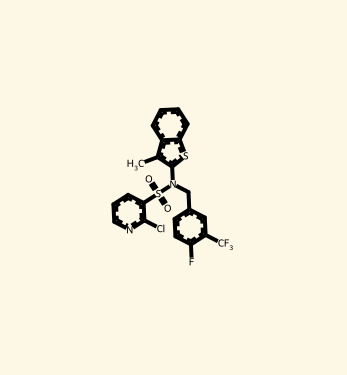 Cc1c(N(Cc2ccc(F)c(C(F)(F)F)c2)S(=O)(=O)c2cccnc2Cl)sc2ccccc12